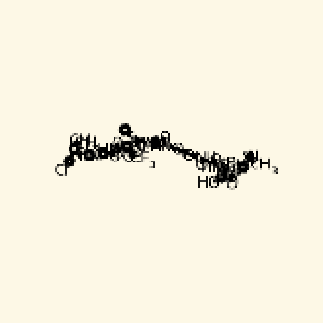 Cc1ncsc1-c1ccc(CNC(=O)[C@@H]2C[C@@H](O)CN2C(=O)C(NC(=O)CCC(=O)NCCOCCOCCNC(=O)N2CCN(CCC(CSc3ccccc3)Nc3ccc(S(=O)(=O)NC(=O)c4ccc(N5CCN(CC6=C(c7ccc(Cl)cc7)CCC(C)(C)C6)CC5)cc4)cc3S(=O)(=O)C(F)(F)F)CC2)C(C)(C)C)cc1